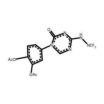 CC(=O)Oc1ccc(-n2cnc(NNC(F)(F)F)nc2=O)cc1OC(C)=O